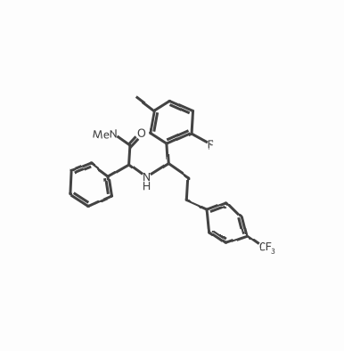 CNC(=O)C(NC(CCc1ccc(C(F)(F)F)cc1)c1cc(C)ccc1F)c1ccccc1